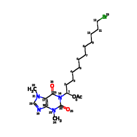 CC(=O)OC(CCCCCCCCCCCBr)n1c(=O)c2c(ncn2C)n(C)c1=O